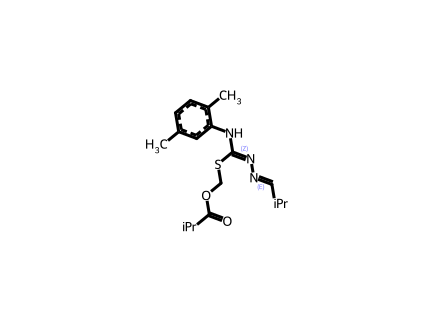 Cc1ccc(C)c(N/C(=N/N=C/C(C)C)SCOC(=O)C(C)C)c1